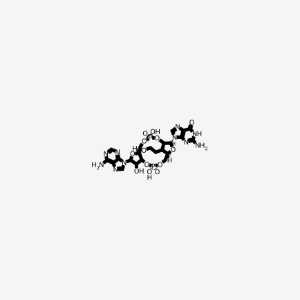 Nc1nc2c(ncn2[C@@H]2O[C@@H]3COP(=O)(O)OC4C(O)C(n5cnc6c(N)ncnc65)O[C@@H]4COP(=O)(O)OC2C3CCO)c(=O)[nH]1